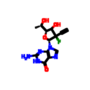 C#C[C@@]1(F)C(O)[C@@H]([C@H](C)O)O[C@H]1n1cnc2c(=O)[nH]c(N)nc21